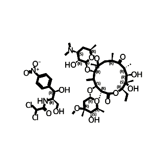 CC[C@H]1OC(=O)[C@H](C)[C@@H](O[C@H]2C[C@@](C)(OC)[C@@H](O)[C@H](C)O2)C(C)[C@@H](O[C@@H]2O[C@H](C)C[C@H](N(C)C)[C@H]2O)[C@](C)(OC)C[C@@H](C)C(=O)[C@H](C)[C@@H](O)[C@]1(C)O.O=C(N[C@H](CO)[C@H](O)c1ccc([N+](=O)[O-])cc1)C(Cl)Cl